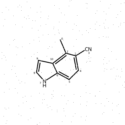 Cc1c(C#N)ccc2[nH]ccc12